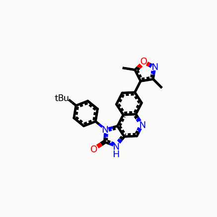 Cc1noc(C)c1-c1ccc2c(c1)ncc1[nH]c(=O)n(-c3ccc(C(C)(C)C)cc3)c12